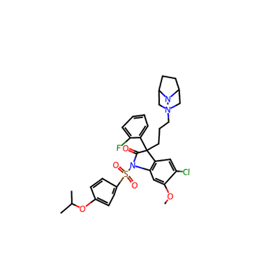 COc1cc2c(cc1Cl)C(CCCN1CC3CCC(C1)N3C)(c1ccccc1F)C(=O)N2S(=O)(=O)c1ccc(OC(C)C)cc1